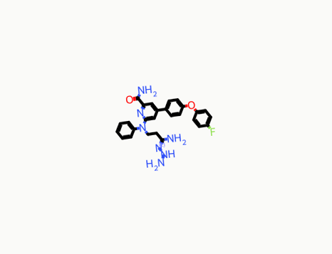 NN/N=C(\N)CCN(c1ccccc1)c1cc(-c2ccc(Oc3ccc(F)cc3)cc2)cc(C(N)=O)n1